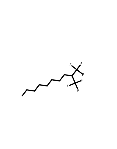 [CH2]CCCCCCCC(C(F)(F)F)C(F)(F)F